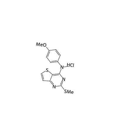 COc1ccc(N(C)c2nc(SC)nc3ccsc23)cc1.Cl